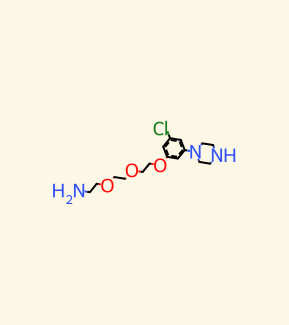 NCCOCCOCCOc1cc(Cl)cc(N2CCNCC2)c1